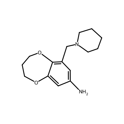 Nc1cc(CN2CCCCC2)c2c(c1)OCCCO2